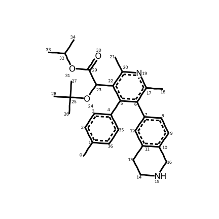 Cc1ccc(-c2c(-c3ccc4c(c3)CCNC4)c(C)nc(C)c2C(OC(C)(C)C)C(=O)OC(C)C)cc1